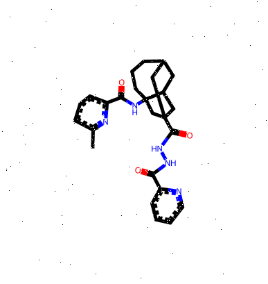 Cc1cccc(C(=O)NC23CCCC4CC2CC(C(=O)NNC(=O)c2ccccn2)(C4)C3)n1